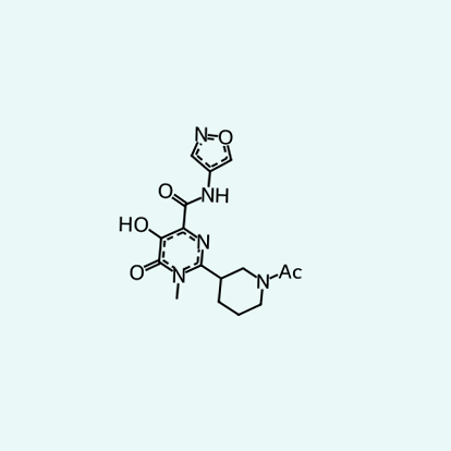 CC(=O)N1CCCC(c2nc(C(=O)Nc3cnoc3)c(O)c(=O)n2C)C1